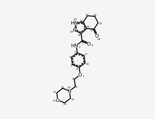 O=C(Nc1ccc(OCCN2CCOCC2)cc1)c1n[nH]c2c1C(=O)CCC2